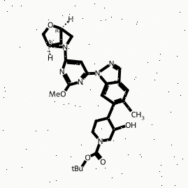 COc1nc(N2C[C@H]3C[C@@H]2CO3)cc(-n2ncc3cc(C)c(C4CCN(C(=O)OC(C)(C)C)CC4O)cc32)n1